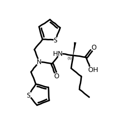 CCCC[C@](C)(NC(=O)N(Cc1cccs1)Cc1cccs1)C(=O)O